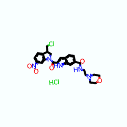 Cl.O=C(NCCN1CCOCC1)c1ccc2cc(C(=O)N3CC(CCl)c4ccc([N+](=O)[O-])cc43)[nH]c2c1